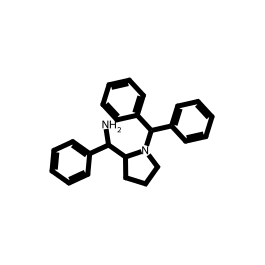 NC(c1ccccc1)C1CCCN1C(c1ccccc1)c1ccccc1